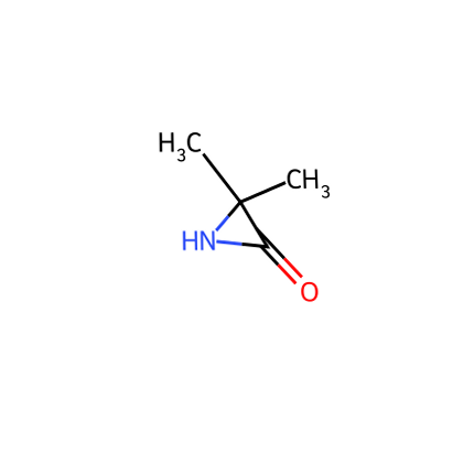 CC1(C)NC1=O